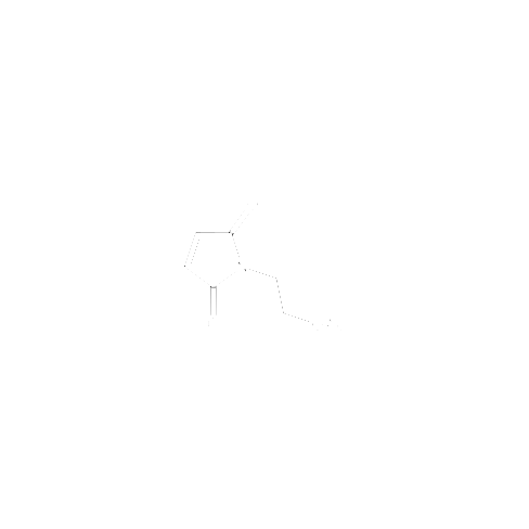 CC(=O)OCCN1C(=O)C=CC1=O